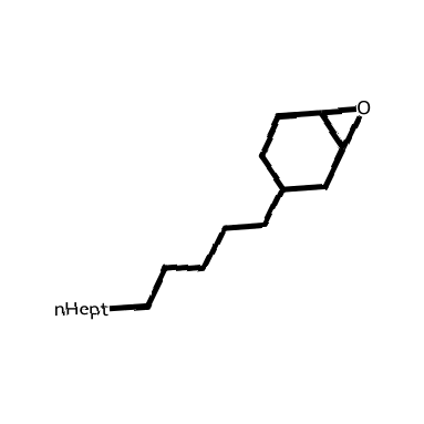 CCCCCCCCCCCCC1CCC2OC2C1